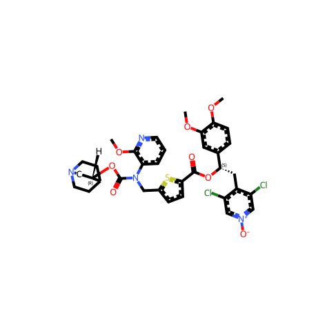 COc1ccc([C@H](Cc2c(Cl)c[n+]([O-])cc2Cl)OC(=O)c2ccc(CN(C(=O)O[C@H]3CN4CCC3CC4)c3cccnc3OC)s2)cc1OC